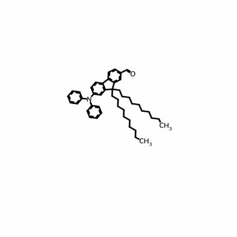 CCCCCCCCCCC1(CCCCCCCCCC)c2cc(C=O)ccc2-c2ccc(N(c3ccccc3)c3ccccc3)cc21